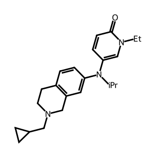 CCn1cc(N(c2ccc3c(c2)CN(CC2CC2)CC3)C(C)C)ccc1=O